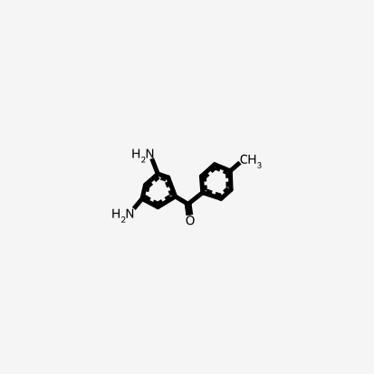 Cc1ccc(C(=O)c2cc(N)cc(N)c2)cc1